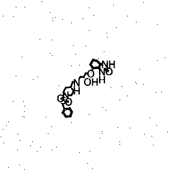 O=c1[nH]c2cccc(OC[C@H](O)CNCC3CCN(S(=O)(=O)Cc4ccccc4)CC3)c2[nH]1